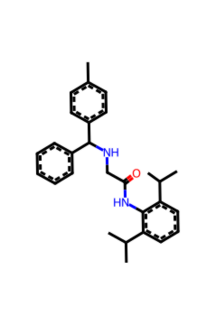 Cc1ccc(C(NCC(=O)Nc2c(C(C)C)cccc2C(C)C)c2ccccc2)cc1